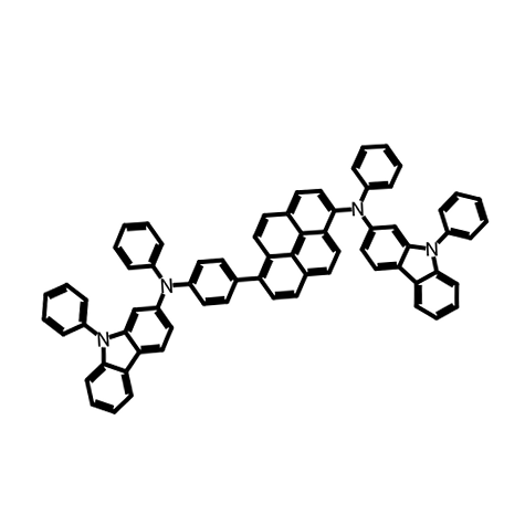 c1ccc(N(c2ccc(-c3ccc4ccc5c(N(c6ccccc6)c6ccc7c8ccccc8n(-c8ccccc8)c7c6)ccc6ccc3c4c65)cc2)c2ccc3c4ccccc4n(-c4ccccc4)c3c2)cc1